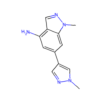 Cn1cc(-c2cc(N)c3cnn(C)c3c2)cn1